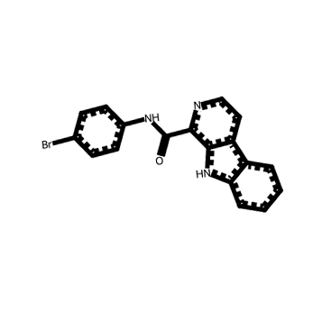 O=C(Nc1ccc(Br)cc1)c1nccc2c1[nH]c1ccccc12